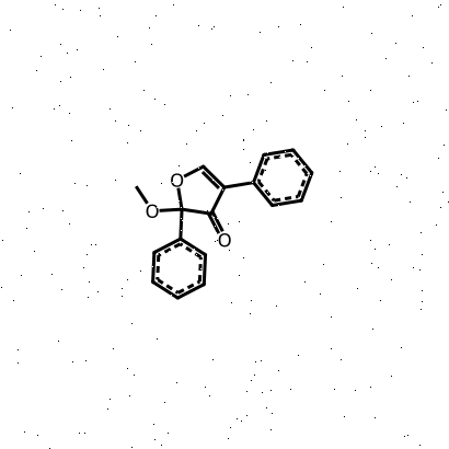 COC1(c2ccccc2)OC=C(c2ccccc2)C1=O